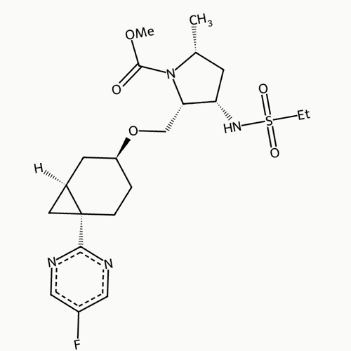 CCS(=O)(=O)N[C@H]1C[C@@H](C)N(C(=O)OC)[C@H]1CO[C@H]1CC[C@@]2(c3ncc(F)cn3)C[C@H]2C1